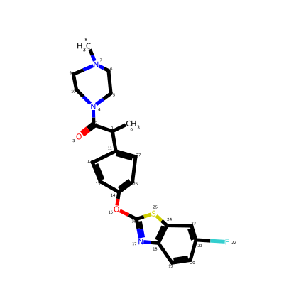 CC(C(=O)N1CCN(C)CC1)c1ccc(Oc2nc3ccc(F)cc3s2)cc1